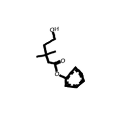 CC(C)(CCO)CC(=O)Oc1ccccc1